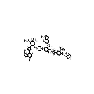 CC1(C)CCC(CN2CCN(c3ccc(C(=O)NS(=O)(=O)c4ccc(NCC5COCCO5)c([N+](=O)[O-])c4)c(Oc4cnc5[nH]ccc5c4)c3)CC2)=C(c2cc(-c3c(F)cc(F)c4cc[nH]c34)cs2)C1